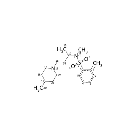 Cc1ccccc1S(=O)(=O)N(C)C(C)CCN1CCC(C)CC1